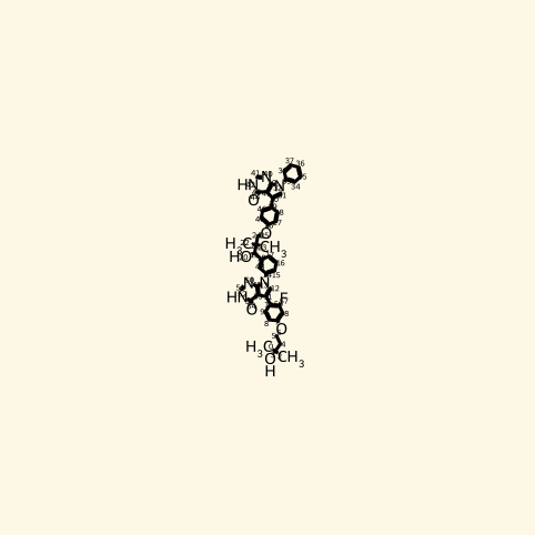 CC(C)(O)CCOc1ccc(-c2cn(-c3cccc(C(O)C(C)(C)COc4ccc(-c5cn(-c6ccccc6)c6nc[nH]c(=O)c56)cc4)c3)c3nc[nH]c(=O)c23)c(F)c1